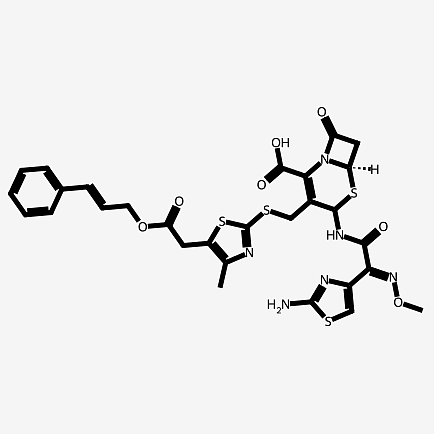 CO/N=C(/C(=O)NC1S[C@@H]2CC(=O)N2C(C(=O)O)=C1CSc1nc(C)c(CC(=O)OC/C=C/c2ccccc2)s1)c1csc(N)n1